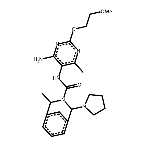 COCCOc1nc(C)c(NC(=O)N2C(C)c3cccc(c3)C2N2CCCC2)c(N)n1